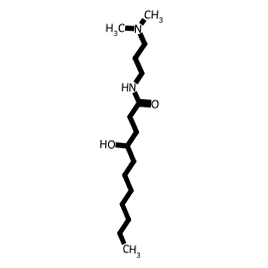 CCCCCCCC(O)CCC(=O)NCCCN(C)C